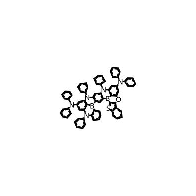 c1ccc(N(c2ccccc2)c2cc3c4c(c2)N(c2ccccc2)c2cc5c(cc2B4c2sc4ccccc4c2O3)B2c3ccccc3N(c3ccccc3)c3cc(N(c4ccccc4)c4ccccc4)cc(c32)N5c2ccccc2)cc1